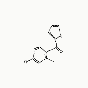 Cc1cc(Cl)ccc1C(=O)c1ccco1